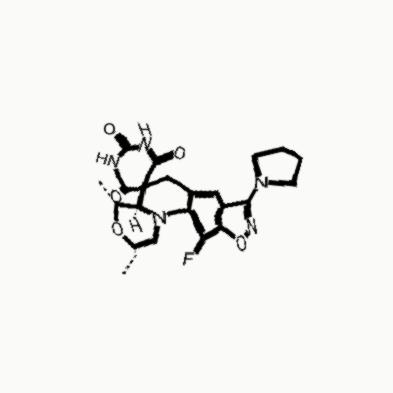 C[C@H]1CN2c3c(cc4c(N5CCCC5)noc4c3F)CC3(C(=O)NC(=O)NC3=O)[C@@H]2[C@@H](C)O1